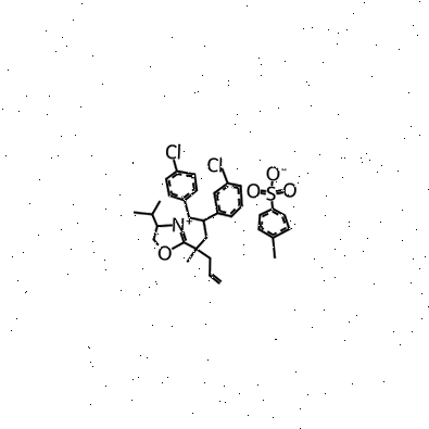 C=CCC1(C)CC(c2cccc(Cl)c2)C(c2ccc(Cl)cc2)[N+]2=C1OCC2C(C)C.Cc1ccc(S(=O)(=O)[O-])cc1